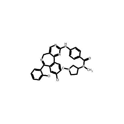 CN1CCC(N(C)C(=O)c2ccc(Nc3ncc4c(n3)-c3ccc(Cl)cc3C(c3ccccc3Cl)=NC4)cc2)C1